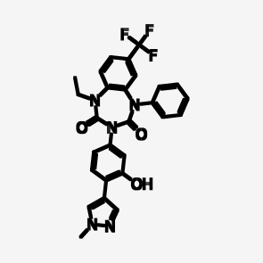 CCN1C(=O)N(c2ccc(-c3cnn(C)c3)c(O)c2)C(=O)N(c2ccccc2)c2cc(C(F)(F)F)ccc21